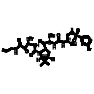 C=CCNC(=O)C(=O)C(CCC)NC(=O)[C@@H]1[C@@H]2[C@H](CN1C(=O)[C@@H](NC(=O)N[C@H](CN(C)S(=O)(=O)c1ccc(Br)s1)C(C)(C)C)C(C)(C)C)C2(C)C